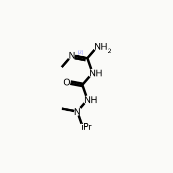 C/N=C(/N)NC(=O)NN(C)C(C)C